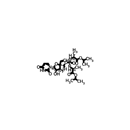 [2H]C(OP(=O)(N[C@@H](C)C(=O)OC(C)C)N[C@@H](C)C(=O)OC(C)C)[C@@]1(C=C)O[C@@H](n2ccc(=O)[nH]c2=O)[C@H](O)[C@@H]1F